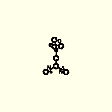 c1ccc2c(c1)Oc1ccccc1C21c2ccccc2-c2cc(-c3ccc(-c4cc(-c5nc6ccccc6s5)cc(-c5nc6ccccc6s5)c4)cc3)ccc21